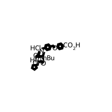 CCCCN1C(=O)[C@@H](CC2(O)CCCC2)NC(=O)C12CCN(Cc1ccc(COc3ccc(C(=O)O)cc3)cc1)CC2.Cl